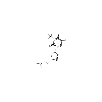 Cc1cn([C@H]2C=C[C@@H](COC(C)C)O2)c(=O)n(C(C)(C)C)c1=O